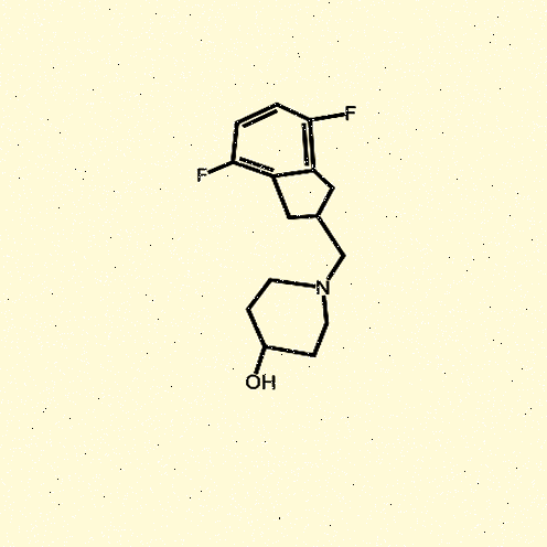 OC1CCN(CC2Cc3c(F)ccc(F)c3C2)CC1